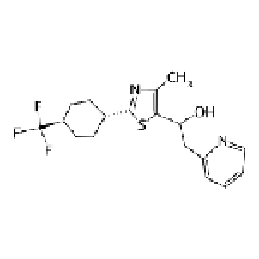 Cc1nc([C@H]2CC[C@H](C(F)(F)F)CC2)sc1C(O)Cc1ccccn1